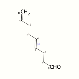 C=CCC/C=C/CCC=O